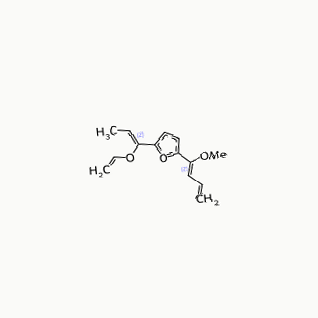 C=C/C=C(\OC)c1ccc(/C(=C/C)OC=C)o1